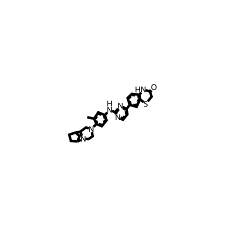 Cc1cc(Nc2nccc(-c3ccc4c(c3)SCC(=O)N4)n2)ccc1N1CCN2C3CCC(C3)C2C1